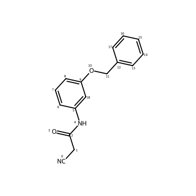 N#CCC(=O)Nc1cccc(OCc2ccccc2)c1